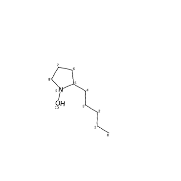 CCCCCC1CCCN1O